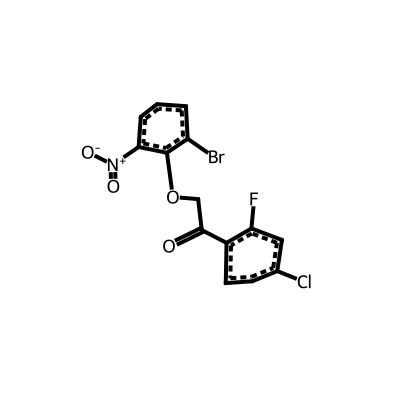 O=C(COc1c(Br)cccc1[N+](=O)[O-])c1ccc(Cl)cc1F